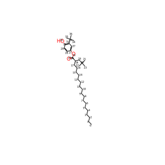 CCCCCCCCCCCCCCCCCCC(CC(C)(C)C)C(=O)Oc1ccc(O)c(C(C)(C)C)c1